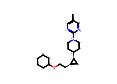 Cc1cnc(N2CCC([C@H]3C[C@H]3CCOC3CCCCC3)CC2)nc1